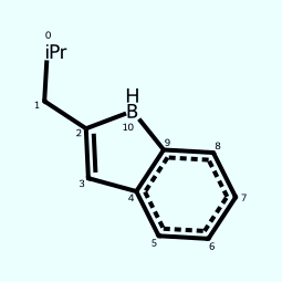 CC(C)CC1=Cc2ccccc2B1